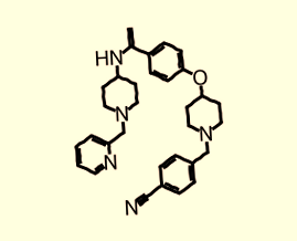 C=C(NC1CCN(Cc2ccccn2)CC1)c1ccc(OC2CCN(Cc3ccc(C#N)cc3)CC2)cc1